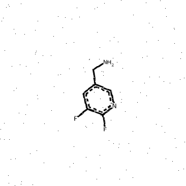 NCc1cnc(F)c(F)c1